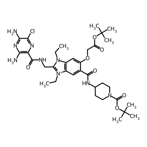 CCn1c(CNC(=O)c2nc(Cl)c(N)nc2N)[n+](CC)c2cc(C(=O)NC3CCN(C(=O)OC(C)(C)C)CC3)c(OCC(=O)OC(C)(C)C)cc21